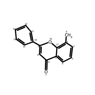 Cc1cccc2c(=O)cc(-c3ccccc3)oc12